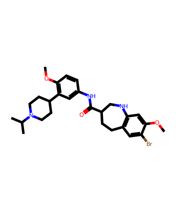 COc1cc2c(cc1Br)CCC(C(=O)Nc1ccc(OC)c(C3CCN(C(C)C)CC3)c1)CN2